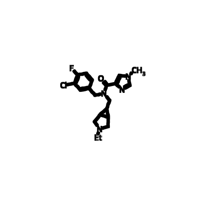 CCN1CC2C(C1)C2CN(Cc1ccc(F)c(Cl)c1)C(=O)c1cn(C)cn1